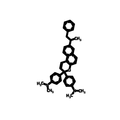 CC(Cc1ccccc1)c1ccc2c3c(ccc2c1)OC(c1ccc(N(C)C)cc1)(c1ccc(N(C)C)cc1)C=C3